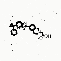 O=C(O)CN1CCc2cc(-c3nc4ccc(C5(c6ccccc6)CC5)nc4s3)ccc2C1